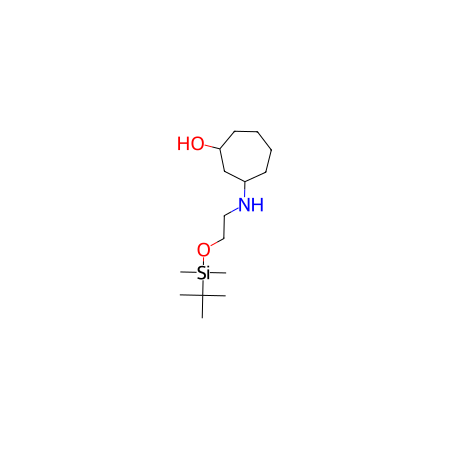 CC(C)(C)[Si](C)(C)OCCNC1CCCCC(O)C1